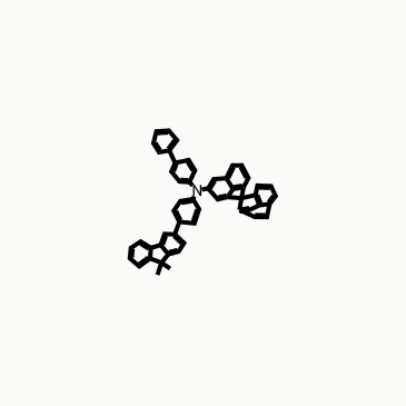 CC1(C)c2ccccc2-c2cc(-c3ccc(N(c4ccc(-c5ccccc5)cc4)c4cc5c6c(cccc6c4)C54c5ccc6cccc4c6c5)cc3)ccc21